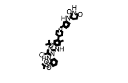 Cc1cc(Nc2ncc(Cl)c(Nc3ccccc3S(=O)(=O)C(C)C)n2)c(OC(C)C)cc1C1CCN(Cc2cccc(NC3CCC(=O)NC3=O)c2)CC1